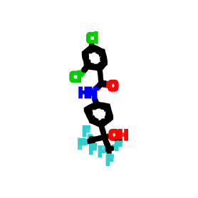 O=C(Nc1ccc(C(O)(C(F)(F)F)C(F)(F)F)cc1)c1ccc(Cl)cc1Cl